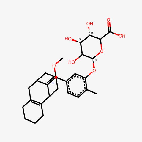 CO/C(=C1\C2CCCC1C1=C(CCCC1)C2)c1ccc(C)c(O[C@@H]2OC(C(=O)O)[C@@H](O)[C@H](O)C2O)c1